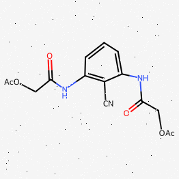 CC(=O)OCC(=O)Nc1cccc(NC(=O)COC(C)=O)c1C#N